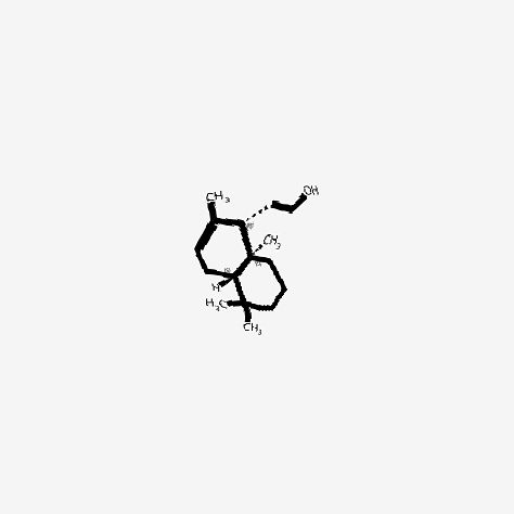 CC1=CC[C@H]2C(C)(C)CCC[C@]2(C)[C@H]1CCO